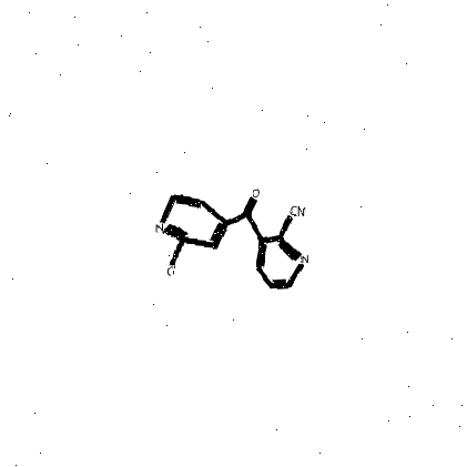 N#Cc1ncccc1C(=O)c1ccnc(Cl)c1